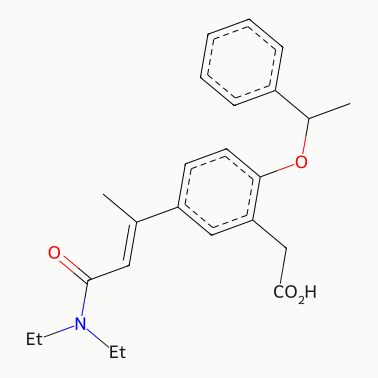 CCN(CC)C(=O)C=C(C)c1ccc(OC(C)c2ccccc2)c(CC(=O)O)c1